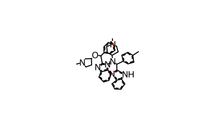 Cc1ccc(C(c2nc3ccccc3[nH]2)N(C2CCN(C)CC2)n2c(C(OC3CCN(C)C3)c3ccccc3)nc3ccccc32)cc1